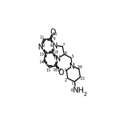 NC1CCN(CC2Cn3c(=O)cnc4ccc(=O)n2c43)CC1